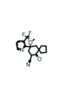 COC1(c2ncccc2C(F)(F)F)CC(C#N)C(=O)C2(CCCC2)C1